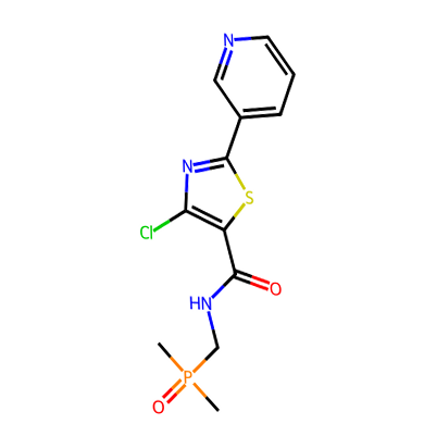 CP(C)(=O)CNC(=O)c1sc(-c2cccnc2)nc1Cl